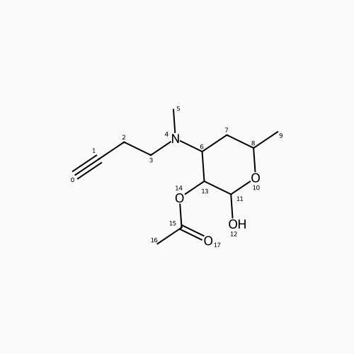 C#CCCN(C)C1CC(C)OC(O)C1OC(C)=O